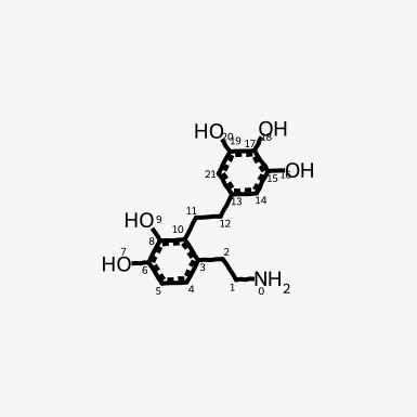 NCCc1ccc(O)c(O)c1CCc1cc(O)c(O)c(O)c1